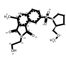 COC[C@@H]1CCCN1S(=O)(=O)c1ccc2nc(C)c3c(c2c1)C(=O)N(CCO)C3=O